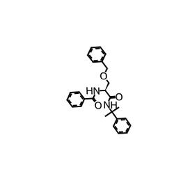 CC(C)(NC(=O)[C@H](COCc1ccccc1)NC(=O)c1ccccc1)c1ccccc1